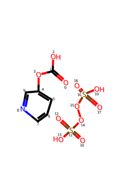 O=C(O)Oc1cccnc1.O=S(=O)(O)OOS(=O)(=O)O